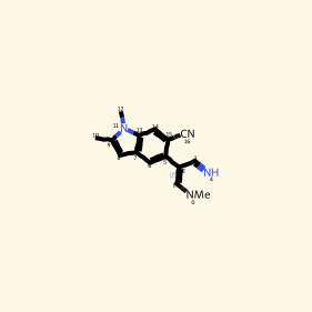 CN/C=C(\C=N)c1cc2cc(C)n(C)c2cc1C#N